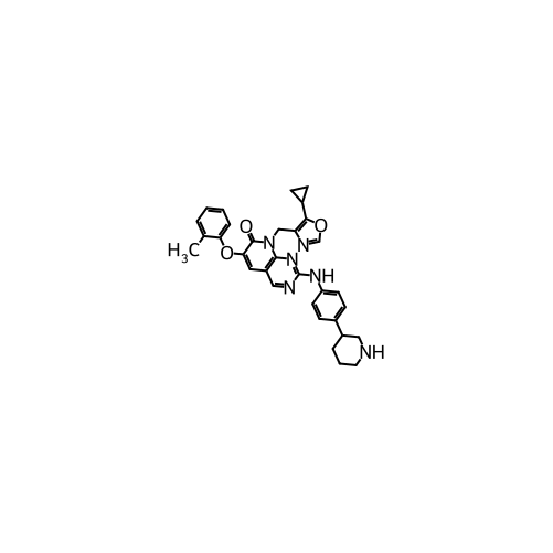 Cc1ccccc1Oc1cc2cnc(Nc3ccc(C4CCCNC4)cc3)nc2n(Cc2ncoc2C2CC2)c1=O